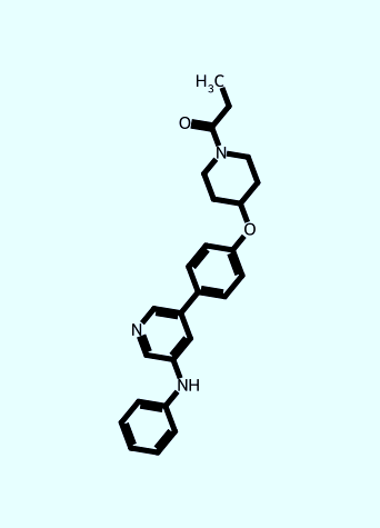 CCC(=O)N1CCC(Oc2ccc(-c3cncc(Nc4ccccc4)c3)cc2)CC1